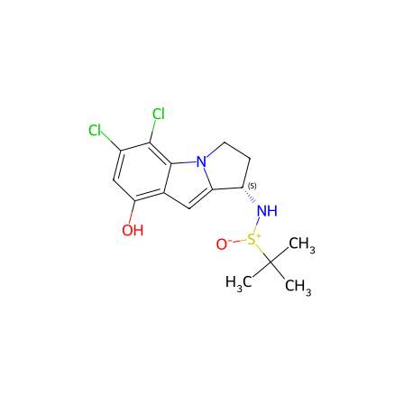 CC(C)(C)[S+]([O-])N[C@H]1CCn2c1cc1c(O)cc(Cl)c(Cl)c12